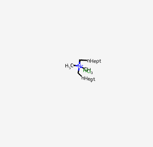 CCCCCCCC[N+](C)(C)CCCCCCCC.Cl